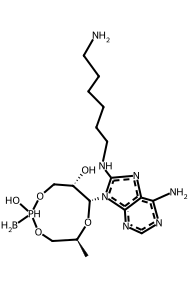 B[PH]1(O)OC[C@H](C)O[C@@H](n2c(NCCCCCCN)nc3c(N)ncnc32)[C@@H](O)CO1